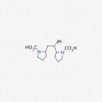 CC(C)C(CC1CCCN1C(=O)O)C1CCCN1C(=O)O